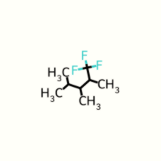 CC(C)C(C)C(C)C(F)(F)F